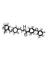 O=C(NCCC1CCN(Cc2cccnc2F)CC1)c1ccc(Oc2ccccc2)cc1